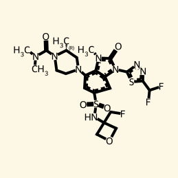 C[C@@H]1CN(c2cc(S(=O)(=O)NC3(CF)COC3)cc3c2n(C)c(=O)n3-c2nnc(C(F)F)s2)CCN1C(=O)N(C)C